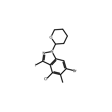 Cc1c(Br)cc2c(c(I)nn2C2CCCCO2)c1Cl